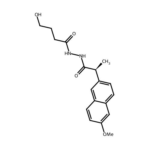 COc1ccc2cc([C@H](C)C(=O)NNC(=O)CCCO)ccc2c1